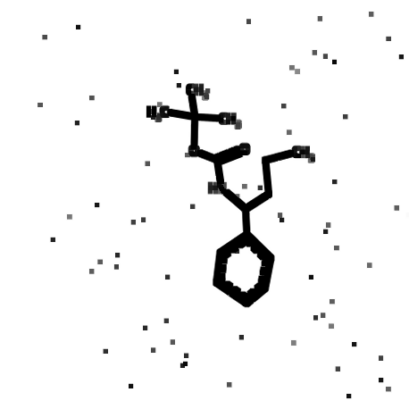 CCCC(NC(=O)OC(C)(C)C)c1ccccc1